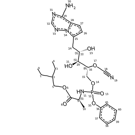 CCC(CC)COC(=O)[C@H](C)NP(=O)(OC[C@@H](OC#N)[C@@H](O)[C@@H](O)Cc1ccc2c(N)ncnn12)Oc1ccccc1